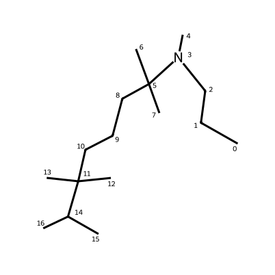 CCCN(C)C(C)(C)CCCC(C)(C)C(C)C